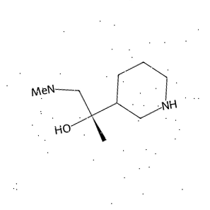 CNC[C@@](C)(O)C1CCCNC1